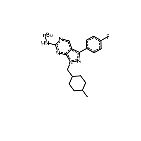 CCCCNc1ncc2c(-c3ccc(F)cc3)nn(CC3CCC(C)CC3)c2n1